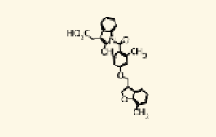 Cc1cc(OC[C@@H]2COc3c(C)cccc32)ccc1C(=O)n1c(C)c(CC(=O)O)c2ccccc21